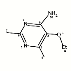 CCOc1c(C)nc(C)nc1N